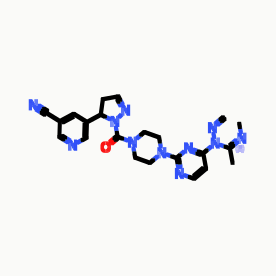 C=NN(/C(C)=N\C)c1ccnc(N2CCN(C(=O)N3N=CCC3c3cncc(C#N)c3)CC2)n1